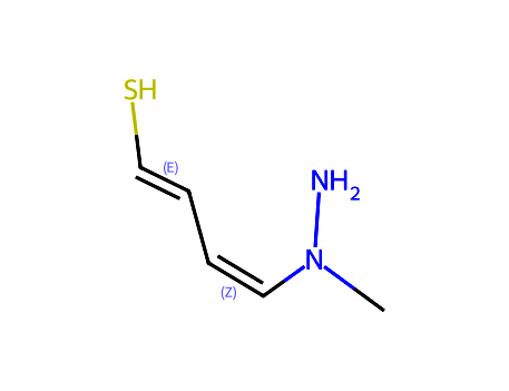 CN(N)/C=C\C=C\S